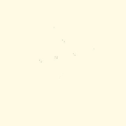 c1ccc(-c2cccc(-c3nc(-c4cccc5c4oc4ccccc45)nc(-c4c(-n5c6cc7ccccc7cc6c6cc7ccccc7cc65)ccc5c4oc4ccccc45)n3)c2)cc1